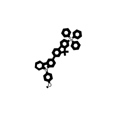 COc1ccc(-n2c3c(c4cc(-c5ccc6c(c5)C(C)(C)c5cc([Si](c7ccccc7)(c7ccccc7)c7ccccc7)ccc5-6)ccc42)C=CCC3)cc1